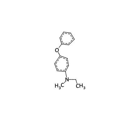 CCN(C)c1ccc(Oc2ccccc2)cc1